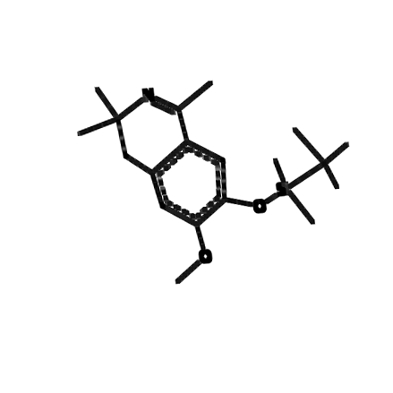 COc1cc2c(cc1O[Si](C)(C)C(C)(C)C)C(C)=NC(C)(C)C2